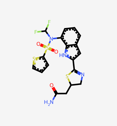 NC(=O)CC1CN=C(c2cc3cccc(N(C(F)F)S(=O)(=O)c4cccs4)c3[nH]2)S1